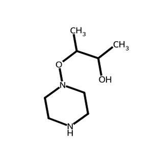 CC(O)C(C)ON1CCNCC1